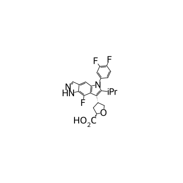 CC(C)c1c([C@@H]2CO[C@@H](C(=O)O)C2)c2c(F)c3[nH]ncc3cc2n1-c1ccc(F)c(F)c1